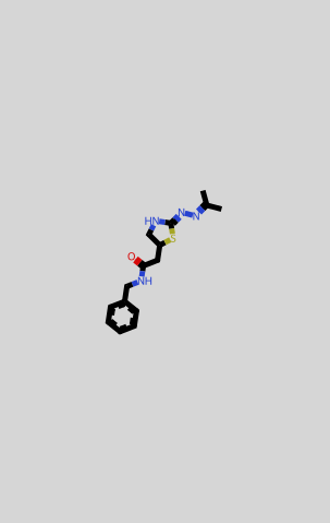 CC(C)=NN=C1NCC(CC(=O)NCc2ccccc2)S1